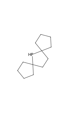 C1CCC2(C1)CCC1(CCCC1)P2